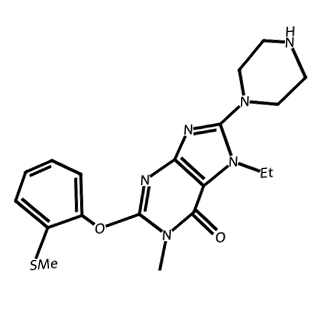 CCn1c(N2CCNCC2)nc2nc(Oc3ccccc3SC)n(C)c(=O)c21